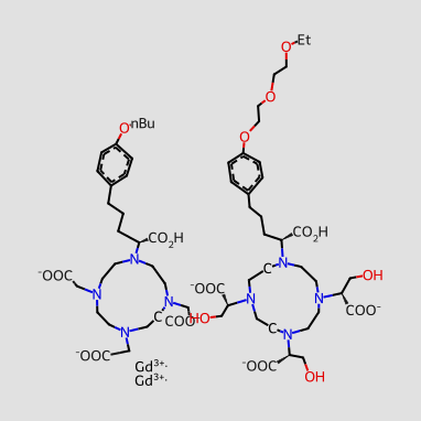 CCCCOc1ccc(CCC[C@@H](C(=O)O)N2CCN(CC(=O)[O-])CCN(CC(=O)[O-])CCN(CC(=O)[O-])CC2)cc1.CCOCCOCCOc1ccc(CCC[C@@H](C(=O)O)N2CCN([C@@H](CO)C(=O)[O-])CCN([C@@H](CO)C(=O)[O-])CCN([C@@H](CO)C(=O)[O-])CC2)cc1.[Gd+3].[Gd+3]